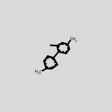 Cc1ccc(-c2ccc(C)cc2I)cc1